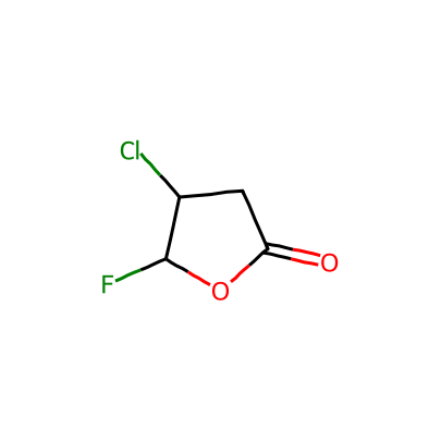 O=C1CC(Cl)C(F)O1